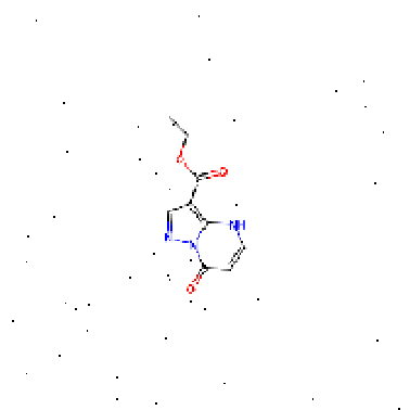 CCOC(=O)c1cnn2c(=O)cc[nH]c12